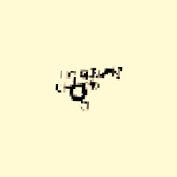 CN(C)CCN(C)S(=O)(=O)c1cc(Cl)cc(Cl)c1O